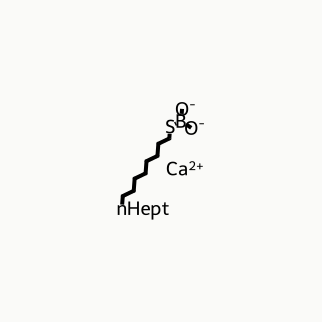 CCCCCCCCCCCCCCCSB([O-])[O-].[Ca+2]